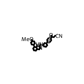 COc1ccc(-c2cccc3cnc(Nc4cccc(N5CCN(C(=O)CCC#N)CC5)c4)nc23)cc1